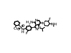 CNC1CCN(c2cnc(N)c3c(-c4ccc(NS(=O)(=O)c5ccccc5Cl)c(F)c4)nn(C(C)C)c23)CC1F